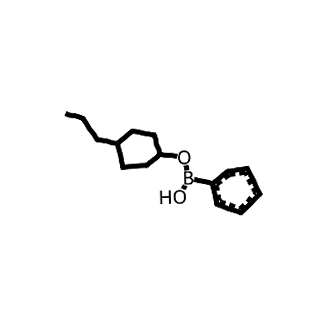 CCCC1CCC(OB(O)c2ccccc2)CC1